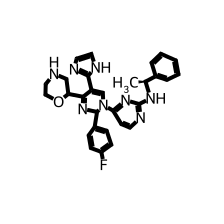 C[C@H](Nc1nccc(N2C=C(c3ncc[nH]3)C(C3CNCCO3)=NC2c2ccc(F)cc2)n1)c1ccccc1